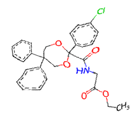 CCOC(=O)CNC(=O)C1(c2ccc(Cl)cc2)OCC(c2ccccc2)(c2ccccc2)CO1